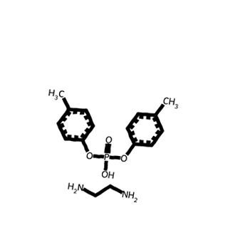 Cc1ccc(OP(=O)(O)Oc2ccc(C)cc2)cc1.NCCN